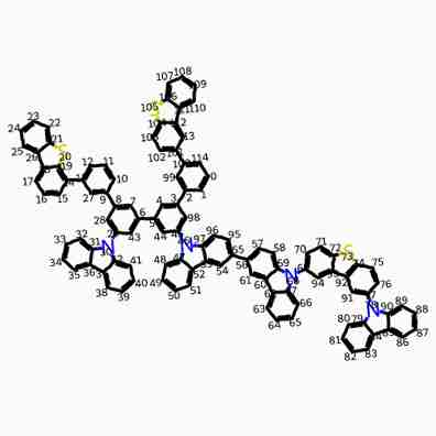 c1cc(-c2cc(-c3cc(-c4cccc(-c5cccc6c5sc5ccccc56)c4)cc(-n4c5ccccc5c5ccccc54)c3)cc(-n3c4ccccc4c4cc(-c5ccc6c(c5)c5ccccc5n6-c5ccc6sc7ccc(-n8c9ccccc9c9ccccc98)cc7c6c5)ccc43)c2)cc(-c2ccc3sc4ccccc4c3c2)c1